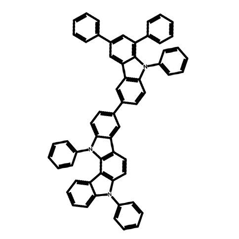 c1ccc(-c2cc(-c3ccccc3)c3c(c2)c2cc(-c4ccc5c(c4)c4ccc6c(c7ccccc7n6-c6ccccc6)c4n5-c4ccccc4)ccc2n3-c2ccccc2)cc1